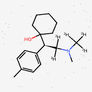 [2H]C([2H])([2H])N(C)C([2H])([2H])[C@@H](c1ccc(C)cc1)C1(O)CCCCC1